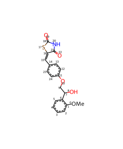 COc1ccccc1C(O)COc1ccc(C=C2SC(=O)NC2=O)cc1